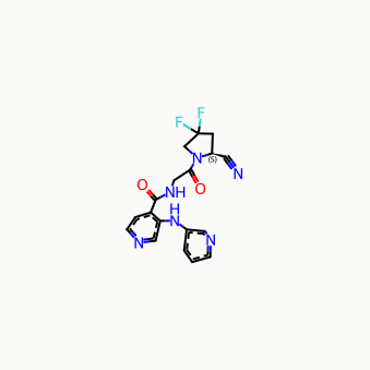 N#C[C@@H]1CC(F)(F)CN1C(=O)CNC(=O)c1ccncc1Nc1cccnc1